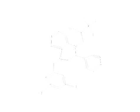 OC(CN1c2ccccc2N(Cc2cc(Cl)cc(Cl)c2)CC1c1ccccc1)C(F)(F)F